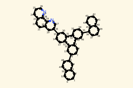 c1ccc2cc(-c3ccc4c(c3)c3ccc(-c5cnc6c(ccc7cccnc76)c5)cc3c3ccc(-c5cccc6ccccc56)cc43)ccc2c1